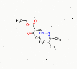 CCOC(=O)C(=CNN=C(C)C(C)C)C(C)=O